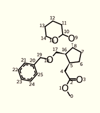 COC(=O)C[C@@H]1CC[C@@H](OC2CCCCO2)[C@@H]1COCc1ccccc1